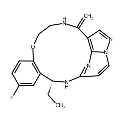 C=C1NCCOc2ccc(F)cc2[C@@H](CC)Nc2ccn3ncc1c3n2